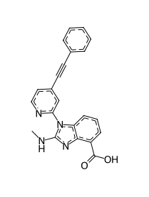 CNc1nc2c(C(=O)O)cccc2n1-c1cc(C#Cc2ccccc2)ccn1